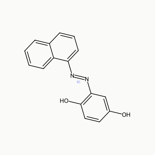 Oc1ccc(O)c(/N=N/c2cccc3ccccc23)c1